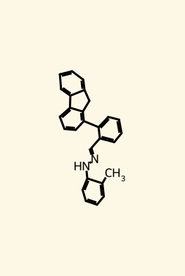 Cc1ccccc1N/N=C/c1ccccc1-c1cccc2c1Cc1ccccc1-2